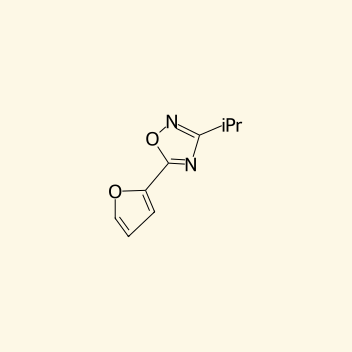 CC(C)c1noc(-c2ccco2)n1